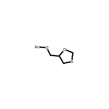 CC(=O)OCC1CS[CH]O1